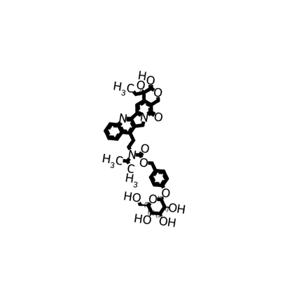 CC[C@@]1(O)C(=O)OCc2c1cc1n(c2=O)Cc2c-1nc1ccccc1c2CCN(C(=O)OCc1ccc(O[C@@H]2O[C@H](CO)[C@@H](O)[C@H](O)[C@H]2O)cc1)C(C)C